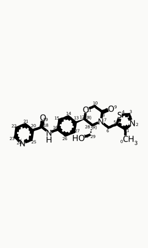 Cc1ncsc1CN1C(=O)CO[C@H](c2ccc(NC(=O)c3cccnc3)cc2)[C@H]1CO